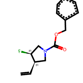 C=C[C@@H]1CN(C(=O)OCc2ccccc2)C[C@@H]1F